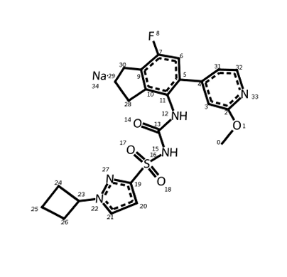 COc1cc(-c2cc(F)c3c(c2NC(=O)NS(=O)(=O)c2ccn(C4CCC4)n2)CCC3)ccn1.[Na]